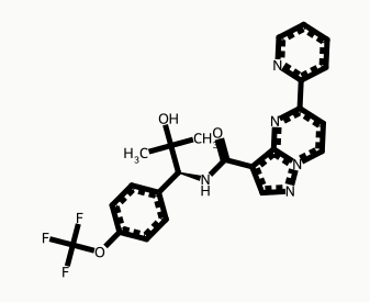 CC(C)(O)[C@@H](NC(=O)c1cnn2ccc(-c3ccccn3)nc12)c1ccc(OC(F)(F)F)cc1